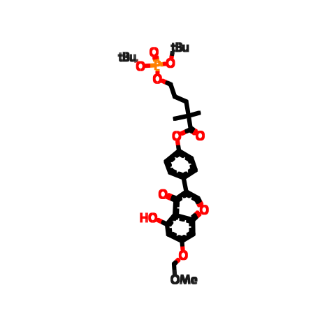 COCOc1cc(O)c2c(=O)c(-c3ccc(OC(=O)C(C)(C)CCCOP(=O)(OC(C)(C)C)OC(C)(C)C)cc3)coc2c1